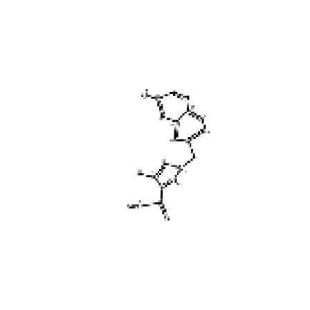 COC(=O)c1nn(Cc2ccc3ncc(Cl)cc3c2)cc1C